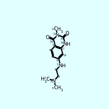 CN(C)CCNc1ccc2c(=O)n(C)c(=O)[nH]c2c1